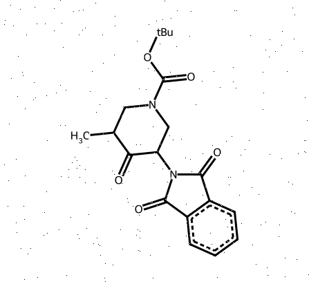 CC1CN(C(=O)OC(C)(C)C)CC(N2C(=O)c3ccccc3C2=O)C1=O